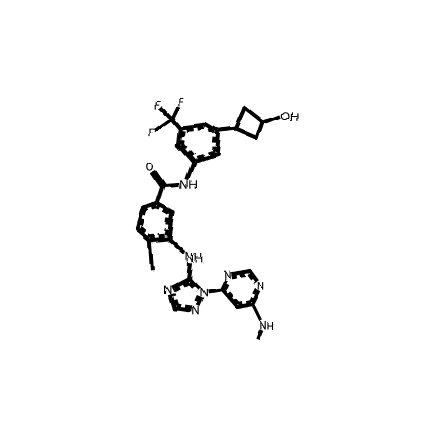 CNc1cc(-n2ncnc2Nc2cc(C(=O)Nc3cc(C4CC(O)C4)cc(C(F)(F)F)c3)ccc2C)ncn1